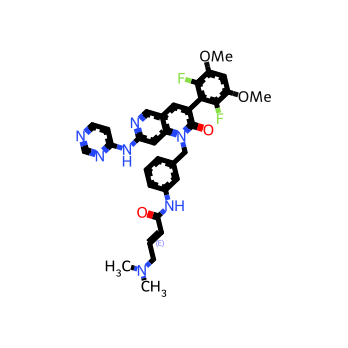 COc1cc(OC)c(F)c(-c2cc3cnc(Nc4ccncn4)cc3n(Cc3cccc(NC(=O)/C=C/CN(C)C)c3)c2=O)c1F